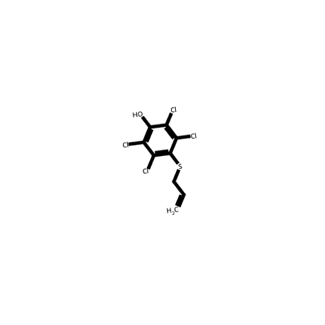 C=CCSc1c(Cl)c(Cl)c(O)c(Cl)c1Cl